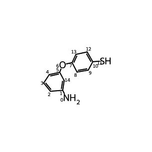 Nc1cccc(Oc2ccc(S)cc2)c1